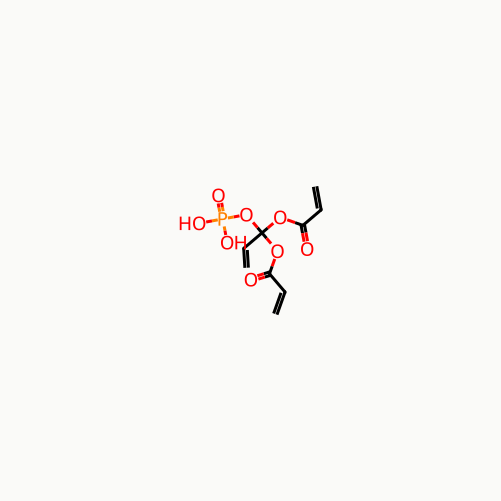 C=CC(=O)OC(C=C)(OC(=O)C=C)OP(=O)(O)O